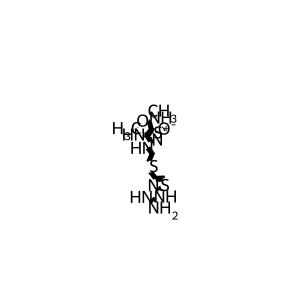 CNC(=O)c1c(NC)c(NCCSCc2csc(NC(=N)N)n2)n[s+]1[O-]